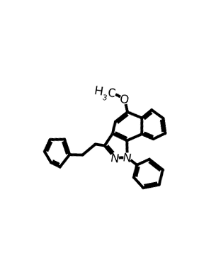 COc1cc2c(CCc3ccccc3)nn(-c3ccccc3)c2c2ccccc12